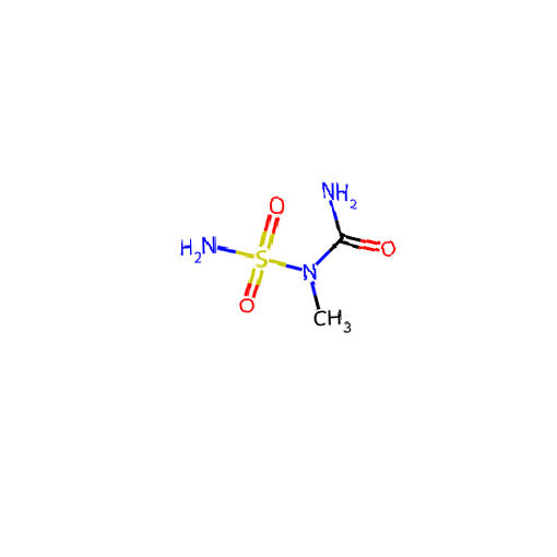 CN(C(N)=O)S(N)(=O)=O